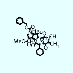 COC(=O)[C@H]1CN(C(=O)OCc2ccccc2)[C@@H]2CCN(C(=O)[C@@H](NC(=O)[C@H](C)N(C)C(=O)OC(C)(C)C)C3CCCCC3)[C@H]12